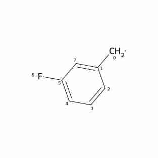 [CH2]c1cccc(F)c1